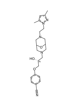 Cc1cc(C)n(CCN2CC3CN(C[C@@H](O)COc4ccc(C#N)cc4)CC(C2)O3)n1